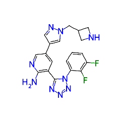 Nc1ncc(-c2cnn(CC3CNC3)c2)cc1-c1nnnn1-c1cccc(F)c1F